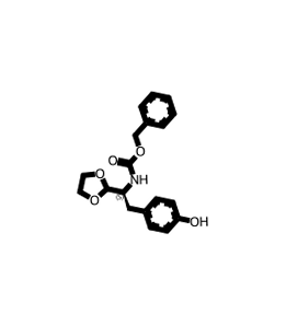 O=C(N[C@@H](Cc1ccc(O)cc1)C1OCCO1)OCc1ccccc1